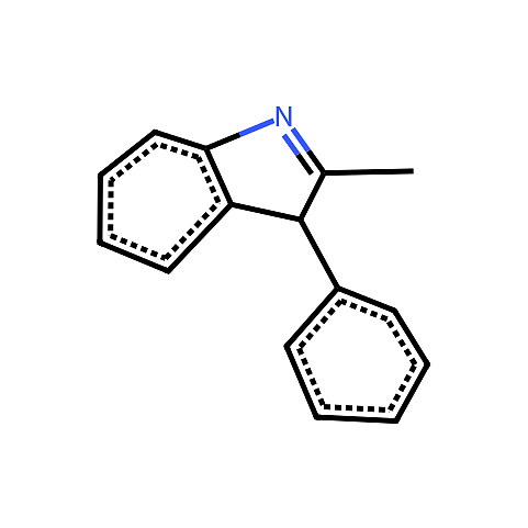 CC1=Nc2ccccc2C1c1ccccc1